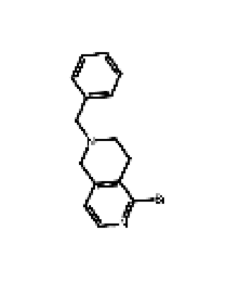 Brc1nccc2c1CCN(Cc1ccccc1)C2